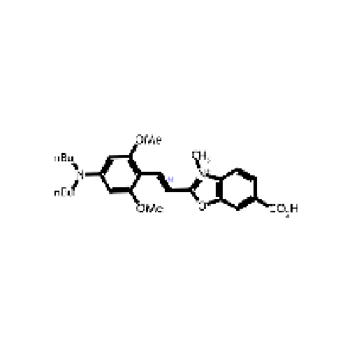 CCCCN(CCCC)c1cc(OC)c(/C=C/c2oc3cc(C(=O)O)ccc3[n+]2C)c(OC)c1